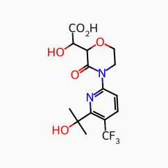 CC(C)(O)c1nc(N2CCOC(C(O)C(=O)O)C2=O)ccc1C(F)(F)F